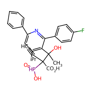 C#CC(C(=O)O)([PH](=O)O)C(C)(O)c1c(C(C)C)cc(-c2ccccc2)nc1-c1ccc(F)cc1